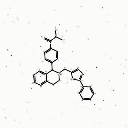 CCN(CC)C(=O)c1ccc(C2c3cc[c]cc3CCN2Cc2cnc(-c3ccccc3)[nH]2)cc1